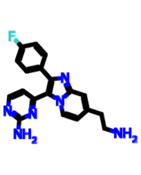 NCCc1ccn2c(-c3ccnc(N)n3)c(-c3ccc(F)cc3)nc2c1